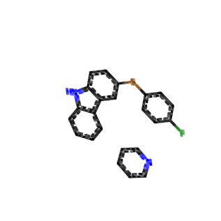 Fc1ccc(Sc2ccc3[nH]c4ccccc4c3c2)cc1.c1ccncc1